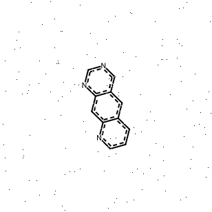 [c]1ncc2cc3cccnc3cc2n1